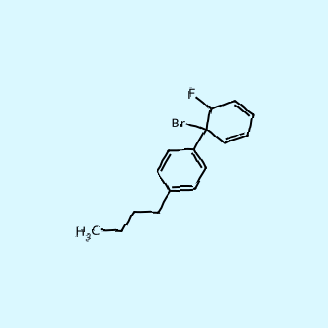 CCCCc1ccc(C2(Br)C=CC=CC2F)cc1